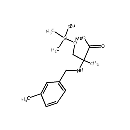 COC(=O)C(C)(CO[Si](C)(C)C(C)(C)C)NCc1cccc(C)c1